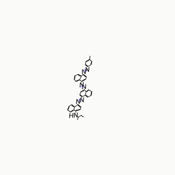 CCC(C)Nc1ccc(/N=N/c2ccc(/N=N/c3ccc(/N=N/c4ccc(C)cc4)c4ccccc34)c3ccccc23)c2ccccc12